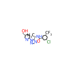 CC(NC(=O)c1cc(Cl)cc(C(F)(F)F)c1)c1ncnn1-c1ccc(CO)cn1